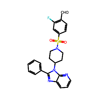 O=Cc1ccc(S(=O)(=O)N2CCC(n3c(-c4ccccc4)nc4cccnc43)CC2)cc1F